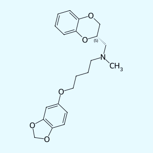 CN(CCCCOc1ccc2c(c1)OCO2)C[C@H]1COc2ccccc2O1